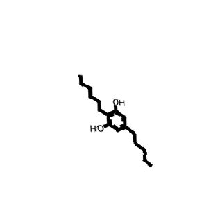 CCCCCCc1c(O)cc(CCCCC)cc1O